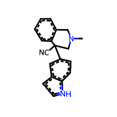 CN1Cc2ccccc2C(C#N)(c2ccc3[nH]ccc3c2)C1